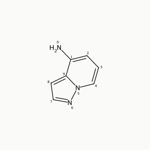 Nc1cccn2nccc12